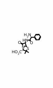 CC1(C)SC2C(NC(=O)[C@H](N)c3ccccc3)C(=O)N2[C@H]1C(=O)O